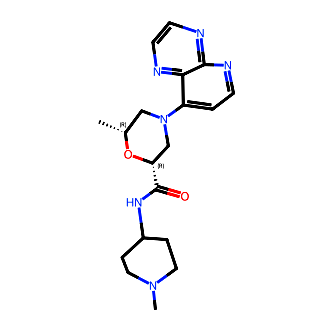 C[C@@H]1CN(c2ccnc3nccnc23)C[C@H](C(=O)NC2CCN(C)CC2)O1